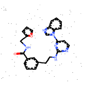 O=C(NCc1ccco1)c1cccc(CCNc2nccc(-n3cnc4ccccc43)n2)c1